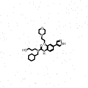 O=C(Nc1ccc(-c2cn[nH]c2)cc1OCCN1CCOCC1)N(CCCO)CC1CCCCC1